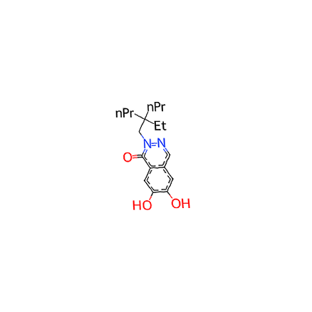 CCCC(CC)(CCC)Cn1ncc2cc(O)c(O)cc2c1=O